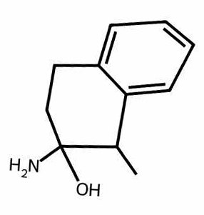 CC1c2ccccc2CCC1(N)O